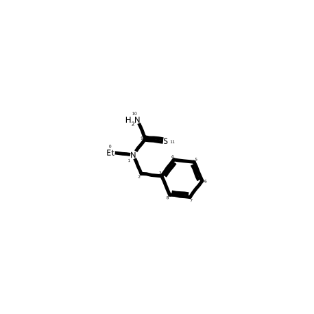 CCN(Cc1ccccc1)C(N)=S